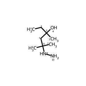 CCC(C)(O)CC(C)(C)NN